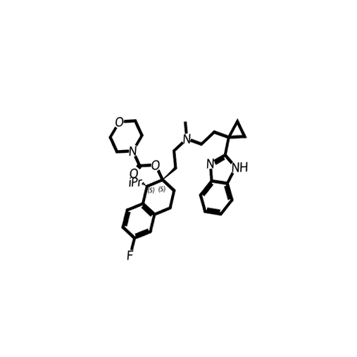 CC(C)[C@H]1c2ccc(F)cc2CC[C@@]1(CCN(C)CCC1(c2nc3ccccc3[nH]2)CC1)OC(=O)N1CCOCC1